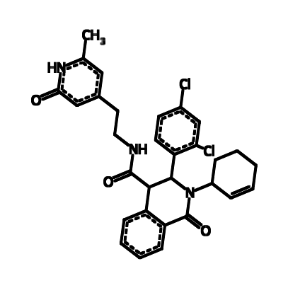 Cc1cc(CCNC(=O)C2c3ccccc3C(=O)N(C3C=CCCC3)C2c2ccc(Cl)cc2Cl)cc(=O)[nH]1